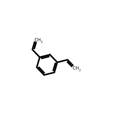 C=Cc1[c]c(C=C)ccc1